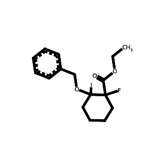 CCOC(=O)C1(F)CCCCC1(I)OCc1ccccc1